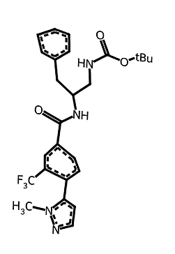 Cn1nccc1-c1ccc(C(=O)NC(CNC(=O)OC(C)(C)C)Cc2ccccc2)cc1C(F)(F)F